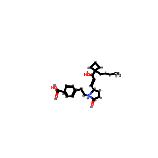 CCCCC1(C(O)C=C[C@H]2CCC(=O)N2CCc2ccc(C(=O)O)cc2)CCC1